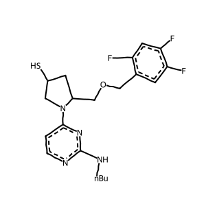 CCCCNc1nccc(N2CC(S)CC2COCc2cc(F)c(F)cc2F)n1